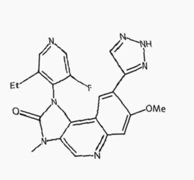 CCc1cncc(F)c1-n1c(=O)n(C)c2cnc3cc(OC)c(-c4cn[nH]n4)cc3c21